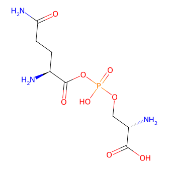 NC(=O)CC[C@H](N)C(=O)OP(=O)(O)OC[C@H](N)C(=O)O